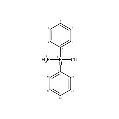 P[PH](Cl)(c1ccccc1)c1ccccc1